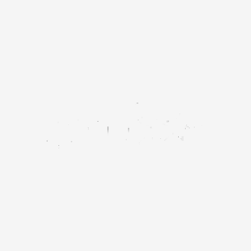 O=C(CCCC1CCCCC1)Oc1cccc(C=C2SC(=O)NC2=O)c1Cl